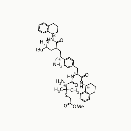 COC(=O)CSC(C)(C)[C@H](N)C(=O)N[C@@H](Cc1ccc([C@H](CN)CC(CC(N)C(C)(C)C)C(=O)N[C@@H]2CCCc3ccccc32)cc1)C(=O)N[C@@H]1CCCc2ccccc21